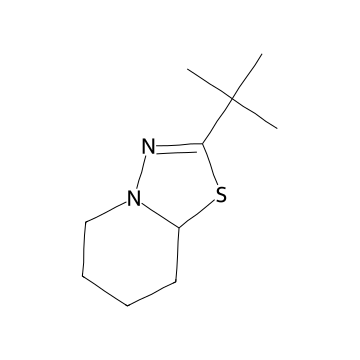 CC(C)(C)C1=NN2CCCCC2S1